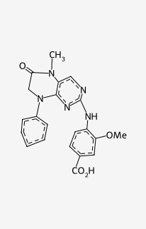 COc1cc(C(=O)O)ccc1Nc1ncc2c(n1)N(c1ccccc1)CC(=O)N2C